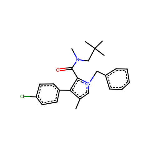 Cc1cn(Cc2ccccc2)c(C(=O)N(C)CC(C)(C)C)c1-c1ccc(Cl)cc1